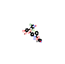 COc1ccc([C@H](Cc2c(Cl)c[n+]([O-])cc2Cl)OC(=O)c2ccc(NC(C(=O)O[C@H]3CN4CCC3CC4)c3cccc(F)c3)cc2)cc1OC